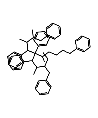 CCC(Cc1ccccc1)C(C)C(c1ccccc1)C(c1ccccc1)(C(C)CCCCc1ccccc1)C(c1ccccc1)C(C)C(C)Cc1ccccc1